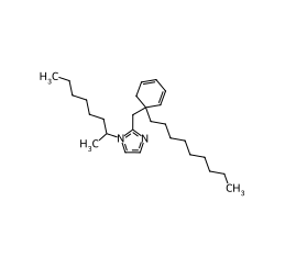 CCCCCCCCCC1(Cc2nccn2C(C)CCCCCC)C=CC=CC1